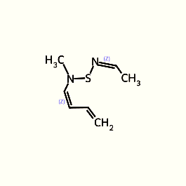 C=C/C=C\N(C)S/N=C\C